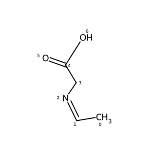 C/C=N\CC(=O)O